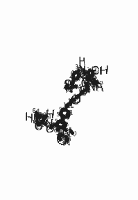 CCN(c1cc(-c2ccc(CCCOCCOCC(=O)N[C@H](C(=O)N3C[C@H](O)C[C@H]3C(=O)N[C@@H](C)c3ccc(-c4scnc4C)cc3)C(C)(C)C)cc2)cc(C(=O)NCc2c(C)cc(C)[nH]c2=O)c1C)C1CCOCC1